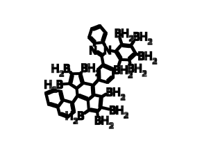 BC1=C(B)C2C(=C1B)C(c1cccc(-c3nc4ccccc4n3-c3c(B)c(B)c(B)c(B)c3B)c1)=c1c(B)c(B)c(B)c(B)c1=C2c1cccc2ccccc12